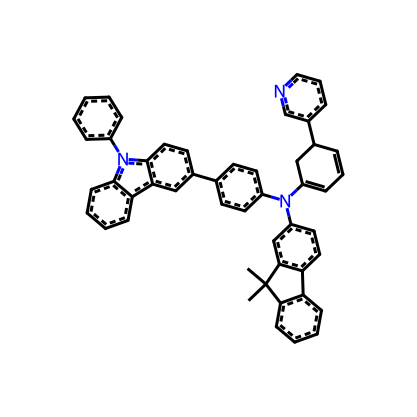 CC1(C)c2ccccc2-c2ccc(N(C3=CC=CC(c4cccnc4)C3)c3ccc(-c4ccc5c(c4)c4ccccc4n5-c4ccccc4)cc3)cc21